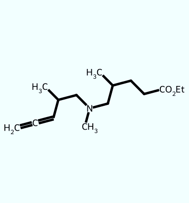 C=C=CC(C)CN(C)CC(C)CCC(=O)OCC